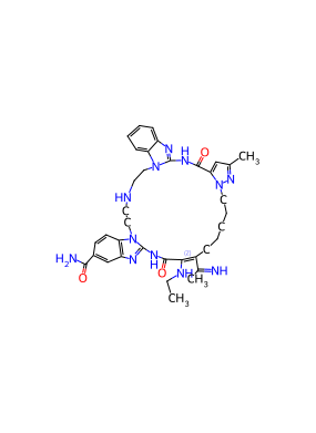 CCN/C1=C(\C(C)=N)CCCCCn2nc(C)cc2C(=O)Nc2nc3ccccc3n2CCNCCn2c(nc3cc(C(N)=O)ccc32)NC1=O